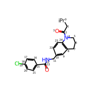 CC(C)CC(=O)N1CCCc2cc(CNC(=O)c3ccc(Cl)cc3)ccc21